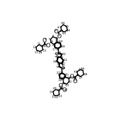 O=C(OC1CCC(OC(=O)C2CCCCC2)c2cc(-c3cc4cc5sc(-c6ccc7c(c6)C(OC(=O)C6CCCCC6)CCC7OC(=O)C6CCCCC6)cc5cc4s3)ccc21)C1CCCCC1